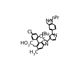 CCCn1ncc2cc(-c3cc(-c4nc5cc(C)c(CC(=O)O)c(-c6ccc(Cl)cc6OC(C)(C)C)c5s4)ccn3)ccc21